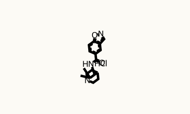 CC1(C)C(NC(=O)c2ccc3oncc3c2)C2CCN1CC2.Cl